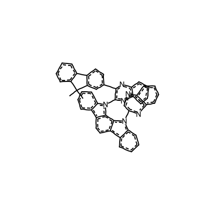 CC1(C)c2ccccc2-c2ccc(-c3nc4ccccc4nc3-n3c4ccccc4c4ccc5c6ccccc6n(-c6cnc7ccccc7n6)c5c43)cc21